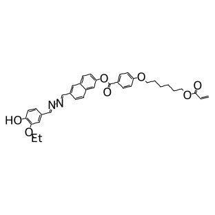 C=CC(=O)OCCCCCCOc1ccc(C(=O)Oc2ccc3cc(/C=N/N=C/c4ccc(O)c(OCC)c4)ccc3c2)cc1